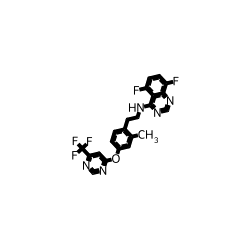 Cc1cc(Oc2cc(C(F)(F)F)ncn2)ccc1CCNc1ncnc2c(F)ccc(F)c12